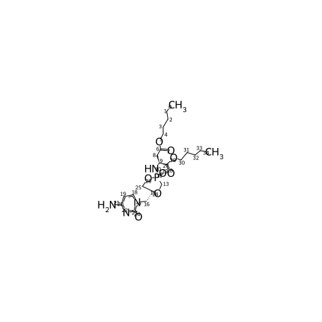 CCCCCOC(=O)C[C@H](NP1(=O)CO[C@H](Cn2ccc(N)nc2=O)CO1)C(=O)OCCCCC